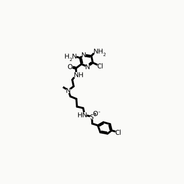 CN(CCCCN[S+]([O-])Cc1ccc(Cl)cc1)CCNC(=O)c1nc(Cl)c(N)nc1N